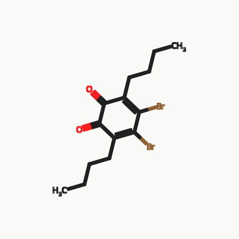 CCCCC1=C(Br)C(Br)=C(CCCC)C(=O)C1=O